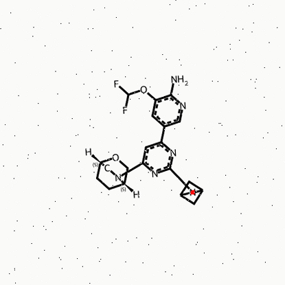 Nc1ncc(-c2cc(N3C[C@@H]4CC[C@H]3CO4)nc(N3CC4CC3C4)n2)cc1OC(F)F